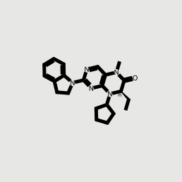 CC[C@@H]1C(=O)N(C)c2cnc(N3CCc4ccccc43)nc2N1C1CCCC1